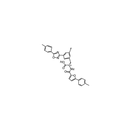 Cc1ccc(-c2ccc(C(=O)N[C@H](Cc3cc(F)cc(-c4noc(-c5ccc(C)cc5)n4)c3)C(=O)O)o2)cc1